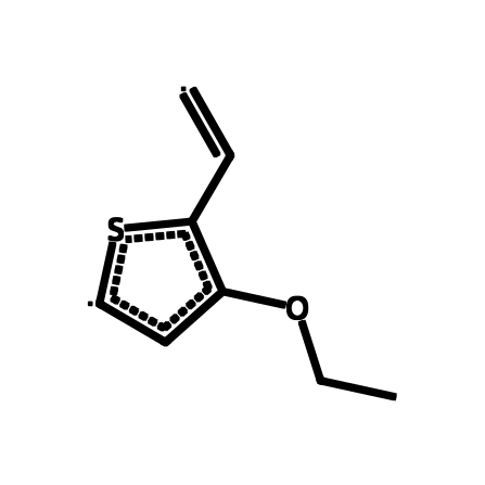 [CH]=Cc1s[c]cc1OCC